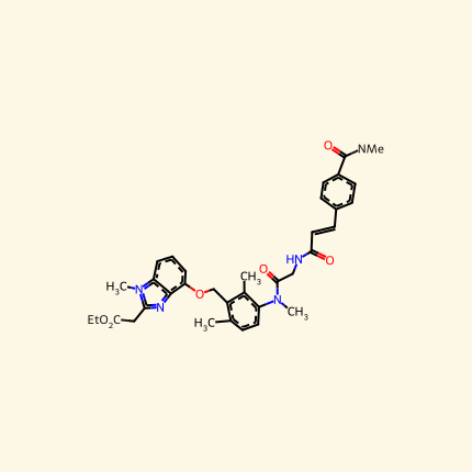 CCOC(=O)Cc1nc2c(OCc3c(C)ccc(N(C)C(=O)CNC(=O)C=Cc4ccc(C(=O)NC)cc4)c3C)cccc2n1C